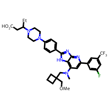 CCC(CC(=O)O)N1CCN(c2ccc(-c3nc4nc(-c5cc(F)cc(C(F)(F)F)c5)cc(N(C)CC5(COC)CCC5)c4[nH]3)cc2)CC1